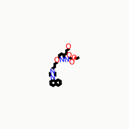 CCOC(=O)C(OC)N(C)c1nc(OCCCCN2CCN(c3cccc4ccccc34)CC2)ccc1CCC=O